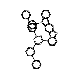 c1ccc(-c2ccc(-c3nc(-c4cccc(-c5ccccc5)c4)nc(-c4cccc5oc6cc7c8ccccc8n(-c8ccccc8)c7cc6c45)n3)cc2)cc1